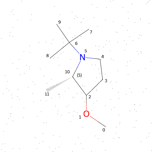 COC1CCN(C(C)(C)C)[C@H]1C